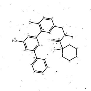 CN(Cc1ccc(Cl)c(-c2nc(O)nc(-c3ccccc3)n2)c1)C(=O)C1(C(F)(F)F)CCCCC1